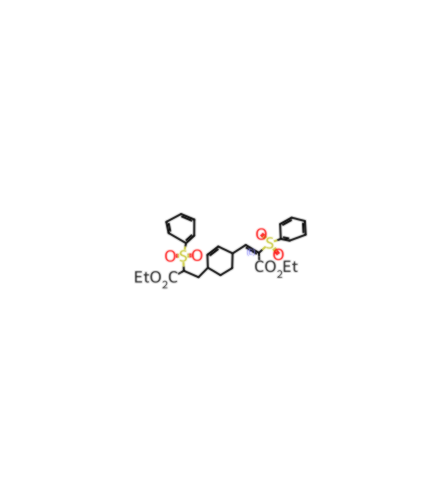 CCOC(=O)/C(=C\C1C=CC(CC(C(=O)OCC)S(=O)(=O)c2ccccc2)CC1)S(=O)(=O)c1ccccc1